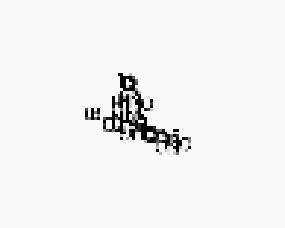 Cc1ccc(CNC(=O)C(COc2cccc(C=C3SC(=O)N(C)C3=O)c2)NC(=O)C(NC(=O)C(C)(C)C)C(C)O)c(F)c1